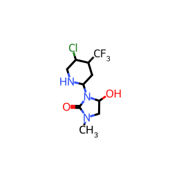 CN1CC(O)N(C2CC(C(F)(F)F)C(Cl)CN2)C1=O